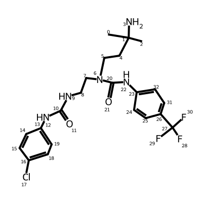 CC(C)(N)CCN(CCNC(=O)Nc1ccc(Cl)cc1)C(=O)Nc1ccc(C(F)(F)F)cc1